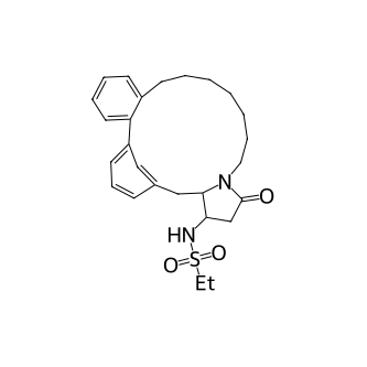 CCS(=O)(=O)NC1CC(=O)N2CCCCCCCc3ccccc3-c3cccc(c3)CC12